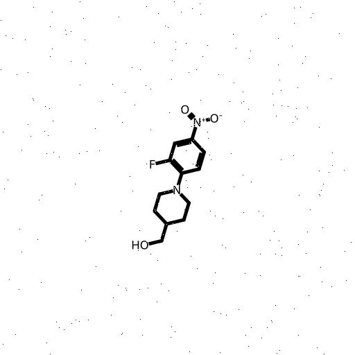 O=[N+]([O-])c1ccc(N2CCC(CO)CC2)c(F)c1